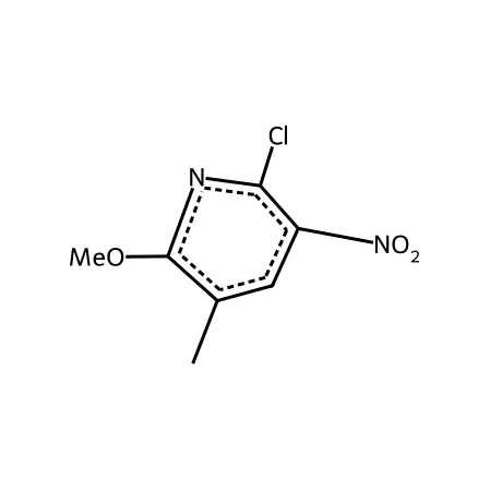 COc1nc(Cl)c([N+](=O)[O-])cc1C